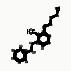 Cc1c(SCCCCl)ccnc1CSc1ncccn1